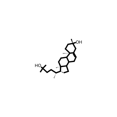 C[C@H](CCC(C)(C)O)[C@H]1CCC2C3CC=C4C[C@@](C)(O)CC[C@]4(C)C3CC[C@@]21C